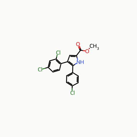 COC(=O)c1cc(-c2ccc(Cl)cc2Cl)c(-c2ccc(Cl)cc2)[nH]1